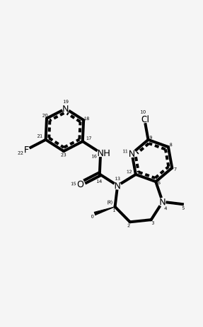 C[C@@H]1CCN(C)c2ccc(Cl)nc2N1C(=O)Nc1cncc(F)c1